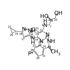 C[C@H](Nc1nc(NC[C@@H](O)CO)c(Cl)c(Nc2cc(C3CC3)n[nH]2)n1)c1ccc(F)cc1